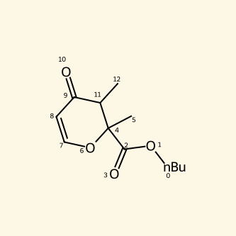 CCCCOC(=O)C1(C)OC=CC(=O)C1C